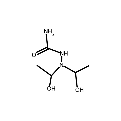 CC(O)N(NC(N)=O)C(C)O